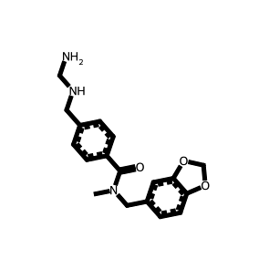 CN(Cc1ccc2c(c1)OCO2)C(=O)c1ccc(CNCN)cc1